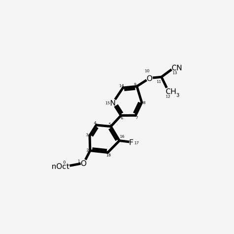 CCCCCCCCOc1ccc(-c2ccc(OC(C)C#N)cn2)c(F)c1